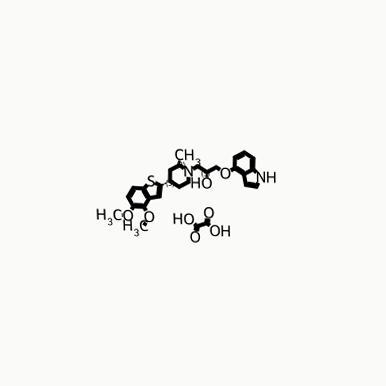 COc1ccc2sc([C@H]3CCN(C[C@H](O)COc4cccc5[nH]ccc45)[C@H](C)C3)cc2c1OC.O=C(O)C(=O)O